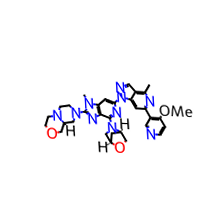 COc1ccncc1-c1cc2c(cnn2-c2cc3c(nc(N4CCN5CCOC[C@H]5C4)n3C)c(N3C[C@H]4C[C@@H]3CO4)n2)c(C)n1